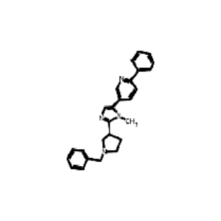 Cn1c(-c2ccc(-c3ccccc3)nc2)cnc1[C@H]1CCN(Cc2ccccc2)C1